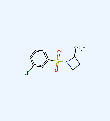 O=C(O)C1CCN1S(=O)(=O)c1cccc(Cl)c1